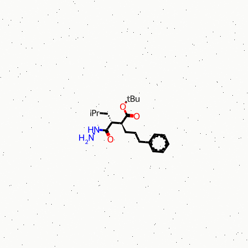 CC(C)C[C@@H](C(=O)NN)[C@H](CCCc1ccccc1)C(=O)OC(C)(C)C